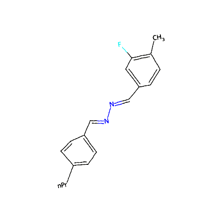 CCCc1ccc(C=NN=Cc2ccc(C)c(F)c2)cc1